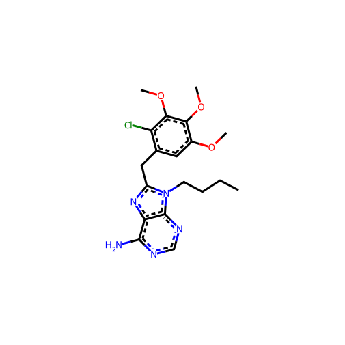 CCCCn1c(Cc2cc(OC)c(OC)c(OC)c2Cl)nc2c(N)ncnc21